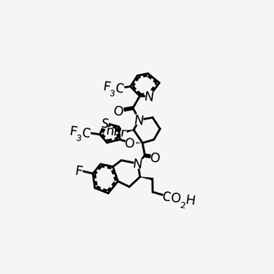 CCC[C@H]1N(C(=O)c2ncccc2C(F)(F)F)CCC[C@@]1(Oc1csc(C(F)(F)F)c1)C(=O)N1Cc2cc(F)ccc2C[C@@H]1CCC(=O)O